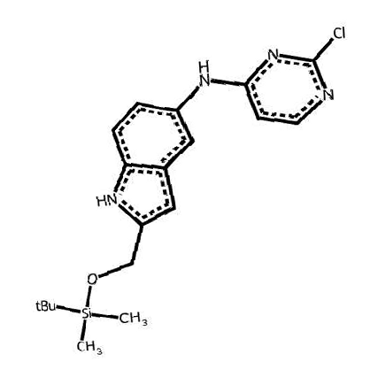 CC(C)(C)[Si](C)(C)OCc1cc2cc(Nc3ccnc(Cl)n3)ccc2[nH]1